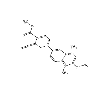 COC(=O)C1=CC=C(c2ccc3c(C)c(OC)cc(C)c3c2)CC1=C=O